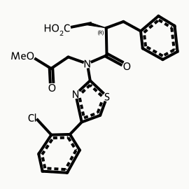 COC(=O)CN(C(=O)[C@@H](CC(=O)O)Cc1ccccc1)c1nc(-c2ccccc2Cl)cs1